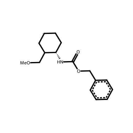 COCC1C[CH]CC[C@@H]1NC(=O)OCc1ccccc1